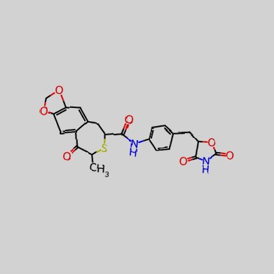 CC1SC(C(=O)Nc2ccc(CC3OC(=O)NC3=O)cc2)Cc2cc3c(cc2C1=O)OCO3